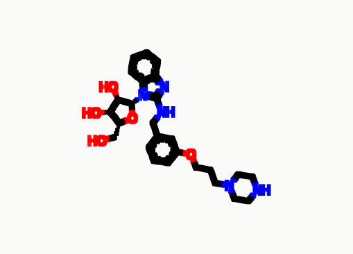 OC[C@H]1O[C@@H](n2c(NCc3cccc(OCCCN4CCNCC4)c3)nc3ccccc32)[C@H](O)[C@@H]1O